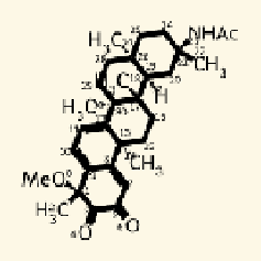 CO[C@]1(C)C(=O)C(=O)C=C2C1=CC=C1[C@@]2(C)CC[C@@]2(C)[C@@H]3C[C@](C)(NC(C)=O)CC[C@]3(C)CC[C@]12C